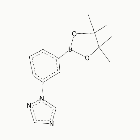 CC1(C)OB(c2cccc(-n3cncn3)c2)OC1(C)C